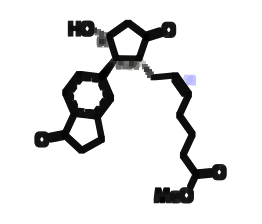 COC(=O)CCC/C=C\C[C@H]1C(=O)C[C@@H](O)[C@@H]1c1ccc2c(c1)CCC2=O